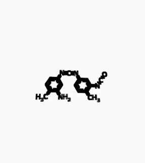 Cc1ccc(N=C=Nc2ccc(C)c(N=C=O)c2)cc1N